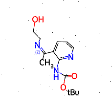 C/C(=N/CCO)c1cccnc1NC(=O)OC(C)(C)C